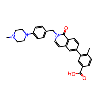 Cc1ccc(C(=O)O)cc1-c1ccc2c(=O)n(Cc3ccc(N4CCN(C)CC4)cc3)ccc2c1